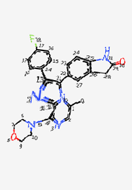 Cc1cnc(N2CCOCC2)c2nc(-c3ccc(F)cc3)c(-c3ccc4c(c3)CC(=O)N4)n12